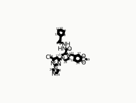 O=C(NNC1CC1c1ccccc1)C1CN(c2cc(Cl)nc(-n3ccnc3)n2)CCN1Cc1ccc2c(c1)OCO2